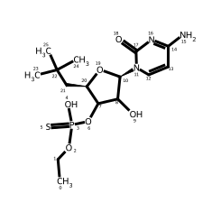 CCOP(O)(=S)OC1C(O)[C@H](n2ccc(N)nc2=O)O[C@@H]1CC(C)(C)C